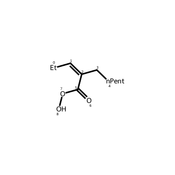 CCC=C(CCCCCC)C(=O)OO